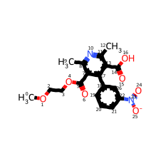 COCCOC(=O)c1c(C)nc(C)c(C(=O)O)c1-c1cccc([N+](=O)[O-])c1